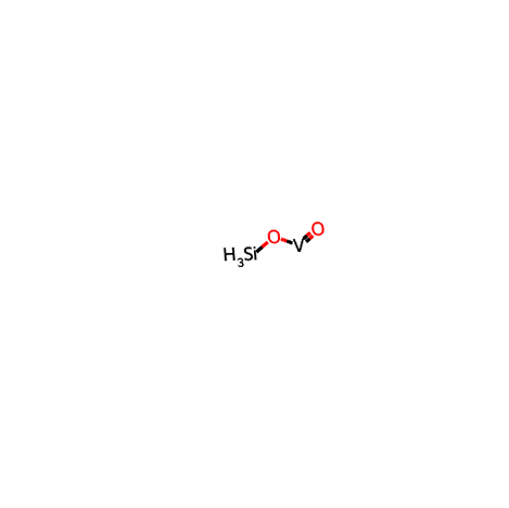 [O]=[V][O][SiH3]